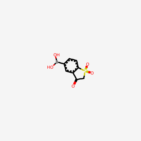 O=C1CS(=O)(=O)c2ccc(B(O)O)cc21